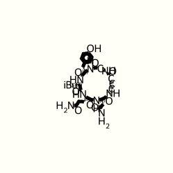 CC[C@H](C)[C@@H]1NC(=O)[C@H](Cc2ccc(O)cc2)NC(=O)CNC(=O)CCCNC(=O)[C@H](CC(N)=O)NC(=O)[C@H](CCC(N)=O)NC1=O